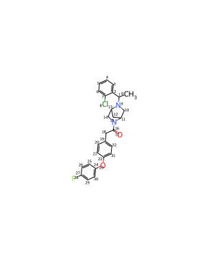 CC(c1ccccc1Cl)N1CC2CC1CN2C(=O)Cc1ccc(Oc2ccc(F)cc2)cc1